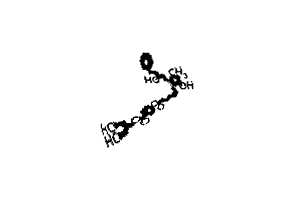 C#CCC(CC#C)COC(=O)c1ccc(OC(=O)CCC/C=C\C[C@@H]2[C@@H](CC[C@@H](O)CCc3ccccc3)[C@H](C)C[C@@H]2O)cc1